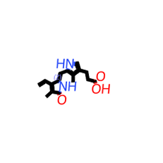 C=CC1=C(C)C(=O)N/C1=C\c1[nH]cc(CCC(=O)O)c1C